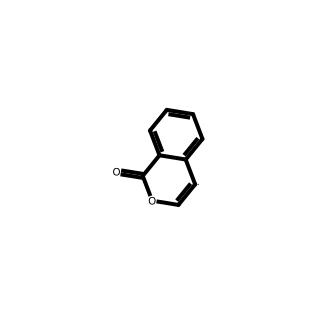 O=c1oc[c]c2ccccc12